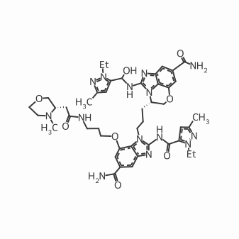 CCn1nc(C)cc1C(=O)Nc1nc2cc(C(N)=O)cc(OCCCNC(=O)C[C@H]3COCCN3C)c2n1CCC[C@H]1COc2cc(C(N)=O)cc3nc(NC(O)c4cc(C)nn4CC)n1c23